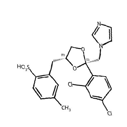 Cc1ccc(S(=O)(=O)O)c(C[C@@H]2CO[C@@](Cn3ccnc3)(c3ccc(Cl)cc3Cl)O2)c1